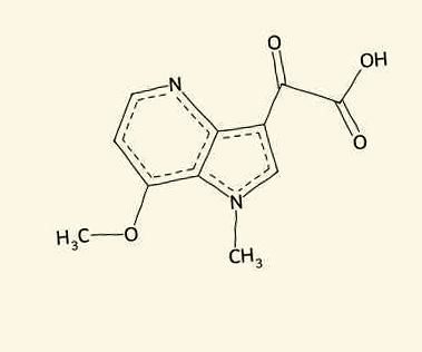 COc1ccnc2c(C(=O)C(=O)O)cn(C)c12